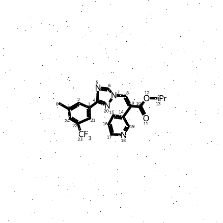 Cc1cc(-c2ncn(C=C(C(=O)OC(C)C)c3cccnc3)n2)cc(C(F)(F)F)c1